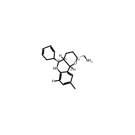 Cc1cc(F)c2c(c1)[C@H]1O[C@@H](CN)CC[C@H]1[C@H](C1C=CC=CC1)N2